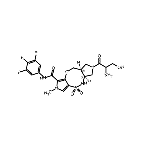 Cn1cc2c(c1C(=O)Nc1cc(F)c(F)c(F)c1)OC[C@H]1CN(C(=O)C(N)CO)C[C@H]1NS2(=O)=O